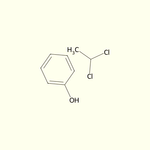 CC(Cl)Cl.Oc1ccccc1